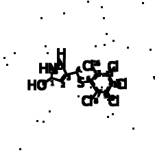 OC1C=C(CSc2c(Cl)c(Cl)c(Cl)c(Cl)c2Cl)NN1